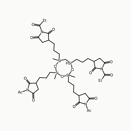 CCC(=O)N1C(=O)CC(CCC[SiH]2C[Si](C)(CCCC3CC(=O)N(C(=O)CC)C3=O)O[Si](C)(CCCC3CC(=O)N(C(C)=O)C3=O)O[Si](C)(CCCC3CC(=O)N(C(C)=O)C3=O)O2)C1=O